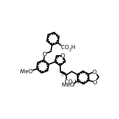 COc1ccc(-c2cocc2/C=C(\Cc2cc3c(cc2OC)OCO3)C(=O)O)c(OCc2ccccc2C(=O)O)c1